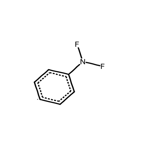 FN(F)c1cc[c]cc1